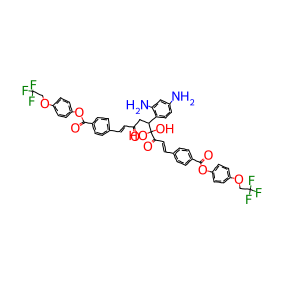 Nc1ccc(C(CC(=O)/C=C/c2ccc(C(=O)Oc3ccc(OCC(F)(F)F)cc3)cc2)C(O)(O)C(=O)/C=C/c2ccc(C(=O)Oc3ccc(OCC(F)(F)F)cc3)cc2)c(N)c1